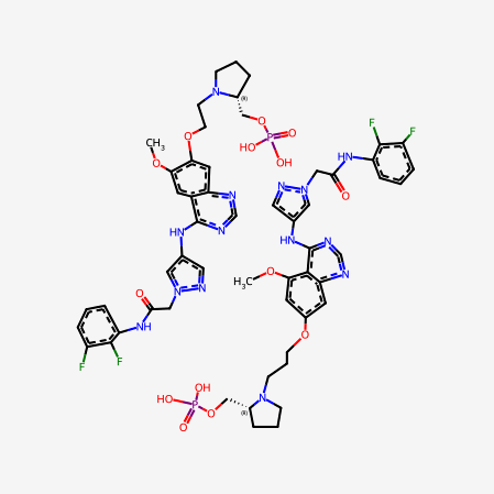 COc1cc(OCCCN2CCC[C@@H]2COP(=O)(O)O)cc2ncnc(Nc3cnn(CC(=O)Nc4cccc(F)c4F)c3)c12.COc1cc2c(Nc3cnn(CC(=O)Nc4cccc(F)c4F)c3)ncnc2cc1OCCN1CCC[C@@H]1COP(=O)(O)O